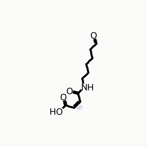 O=CCCCCCNC(=O)/C=C\C(=O)O